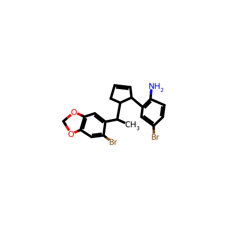 CC(c1cc2c(cc1Br)OCO2)C1CC=CC1c1cc(Br)ccc1N